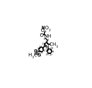 Cc1c(CCNC(=O)CO[N+](=O)[O-])cc(-c2ccc(S(C)(=O)=O)cc2)n1-c1ccccc1